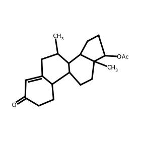 CC(=O)OC1CCC2C3C(C)CC4=CC(=O)CCC4C3CCC12C